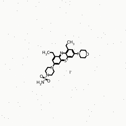 CCc1cc(N2CCOCC2)cc2[s+]c3cc(N4CCN(S(N)(=O)=O)CC4)cc(CC)c3nc12.[I-]